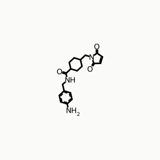 Nc1ccc(CNC(=O)C2CCC(CN3C(=O)C=CC3=O)CC2)cc1